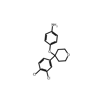 Nc1ccc(OC2(c3ccc(Cl)c(Cl)c3)CCOCC2)cc1